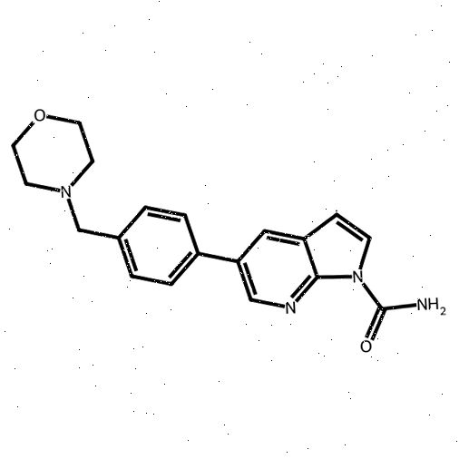 NC(=O)n1c[c]c2cc(-c3ccc(CN4CCOCC4)cc3)cnc21